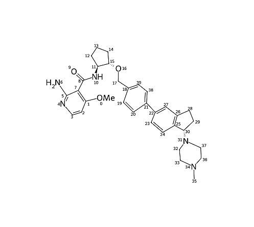 COc1ccnc(N)c1C(=O)N[C@H]1CCC[C@@H]1OCc1ccc(-c2ccc3c(c2)CC[C@@H]3N2CCN(C)CC2)cc1